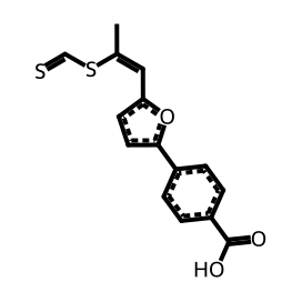 C/C(=C/c1ccc(-c2ccc(C(=O)O)cc2)o1)SC=S